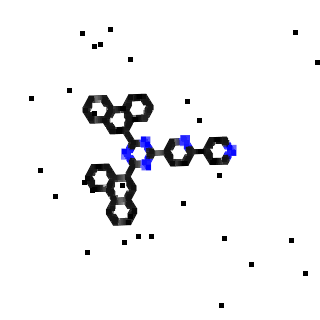 c1ccc2c(c1)cc(-c1nc(-c3ccc(-c4ccncc4)nc3)nc(-c3cc4ccccc4c4ccccc34)n1)c1ccccc12